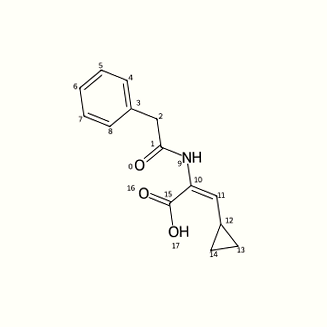 O=C(Cc1ccccc1)NC(=CC1CC1)C(=O)O